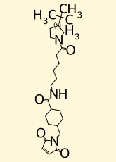 CC(C)(C)[C@@H]1CCN(C(=O)CCCCCNC(=O)C2CCC(CN3C(=O)C=CC3=O)CC2)C1